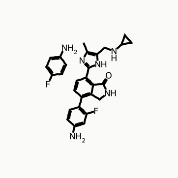 Cc1nc(-c2ccc(-c3ccc(N)cc3F)c3c2C(=O)NC3)[nH]c1CNC1CC1.Nc1ccc(F)cc1